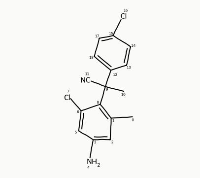 Cc1cc(N)cc(Cl)c1C(C)(C#N)c1ccc(Cl)cc1